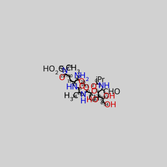 CC(C)C(=O)N[C@@H](C=O)[C@@H](OC(C)C(=O)NC(C)C(=O)NC(CCC(=O)N(C)C(=O)O)C(N)=O)[C@H](O)[C@H](O)CO